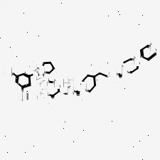 COC(=O)[C@H](CNC(=O)N1CCC(CCOC(=O)N2CCN(c3ccncc3)CC2)CC1)NC(=O)[C@@H]1CCCN1S(=O)(=O)c1cc(Cl)cc(Cl)c1